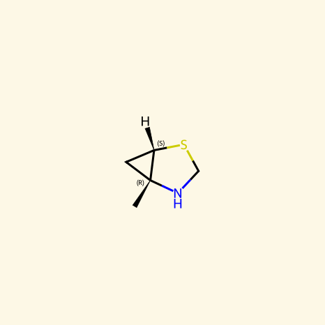 C[C@@]12C[C@@H]1SCN2